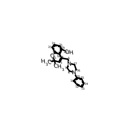 CC1(C)C=C(CN2CCN(c3ccccc3)CC2)c2c(O)cccc2O1